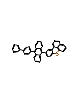 c1ccc(-c2ccc(-c3c4ccccc4c(-c4ccc5c(c4)-c4cccc6cccc(c46)S5)c4ccccc34)cc2)cc1